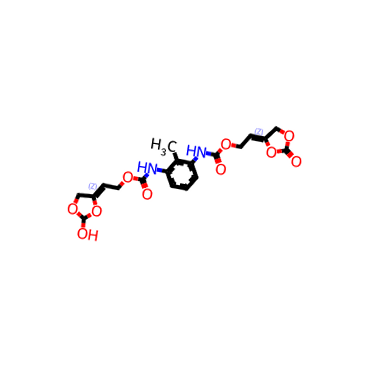 Cc1c(NC(=O)OC/C=C2/COC(=O)O2)cccc1NC(=O)OC/C=C1/COC(O)O1